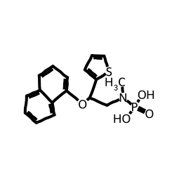 CN(CC(Oc1cccc2ccccc12)c1cccs1)P(=O)(O)O